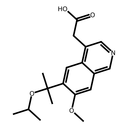 COc1cc2cncc(CC(=O)O)c2cc1C(C)(C)OC(C)C